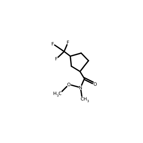 CON(C)C(=O)C1CCC(C(F)(F)F)C1